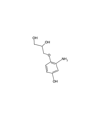 Nc1cc(O)ccc1OCC(O)CO